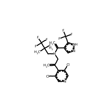 C=C(CN(CC(C)(C)C(F)(F)F)C(=C)c1cn[nH]c1C(F)(F)F)c1c(Cl)cncc1Cl